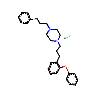 Cl.Cl.c1ccc(CCCN2CCN(CCCc3ccccc3Oc3ccccc3)CC2)cc1